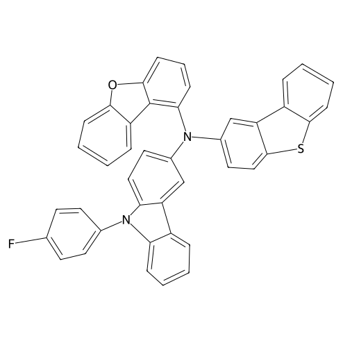 Fc1ccc(-n2c3ccccc3c3cc(N(c4ccc5sc6ccccc6c5c4)c4cccc5oc6ccccc6c45)ccc32)cc1